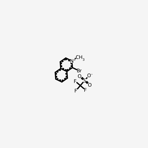 C[n+]1ccc2ccccc2c1Br.O=S(=O)([O-])C(F)(F)F